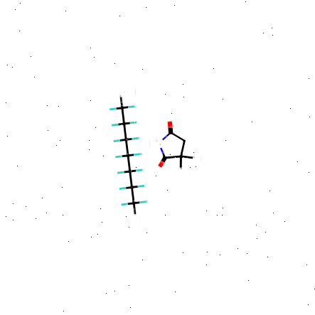 CC1(C)CC(=O)NC1=O.O=S(=O)(O)C(F)(F)C(F)(F)C(F)(F)C(F)(F)C(F)(F)C(F)(F)C(F)(F)C(F)(F)F